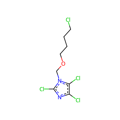 ClCCCCOCn1c(Cl)nc(Cl)c1Cl